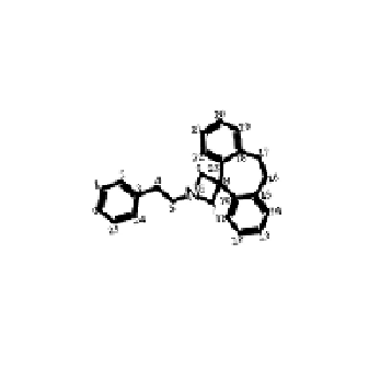 c1ccc(CCN2CC3(C2)c2ccccc2CCc2ccccc23)cc1